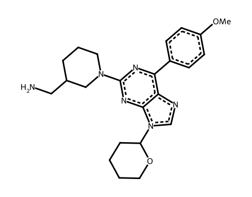 COc1ccc(-c2nc(N3CCCC(CN)C3)nc3c2ncn3C2CCCCO2)cc1